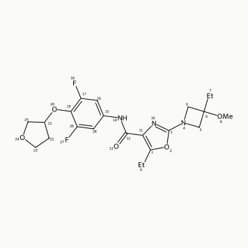 CCc1oc(N2CC(CC)(OC)C2)nc1C(=O)Nc1cc(F)c(OC2CCOC2)c(F)c1